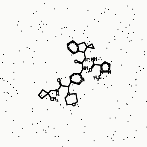 Cn1nccc1C(=O)N[C@H](C(=O)Nc1ccc(C(C(=O)NCC2(C)CCC2)N2CCOCC2)cn1)C1c2ccccc2CC12CC2